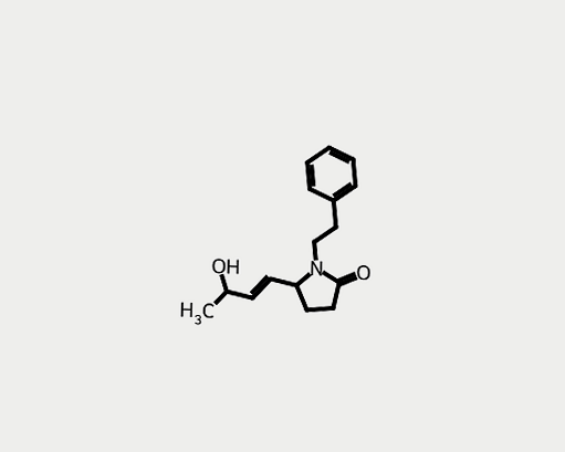 CC(O)C=CC1CCC(=O)N1CCc1ccccc1